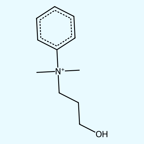 C[N+](C)(CCCO)c1ccccc1